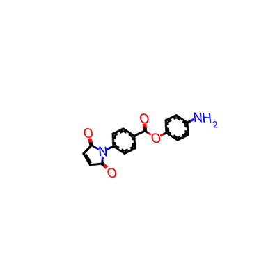 Nc1ccc(OC(=O)c2ccc(N3C(=O)C=CC3=O)cc2)cc1